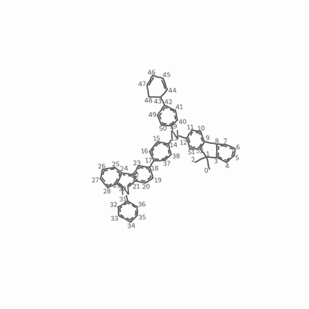 CC1(C)c2ccccc2-c2ccc(N(c3ccc(-c4ccc5c(c4)c4ccccc4n5-c4ccccc4)cc3)c3ccc(C4C=CC=CC4)cc3)cc21